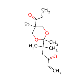 C=CC(=O)CC(C)(C)C1(C)OCC(CC)(C(=O)C=C)CO1